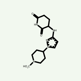 O=C1CCC(Nc2ccn(C3CCN(C(=O)O)CC3)n2)C(=O)N1